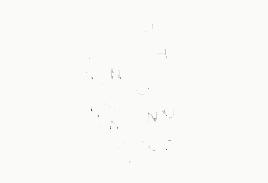 Cc1c2c(-c3noc(C4CCOC4C)n3)ncn2c2cccc(F)c2[n+]1[O-]